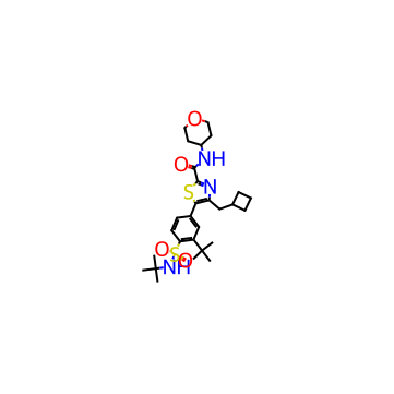 CC(C)(C)NS(=O)(=O)c1ccc(-c2sc(C(=O)NC3CCOCC3)nc2CC2CCC2)cc1C(C)(C)C